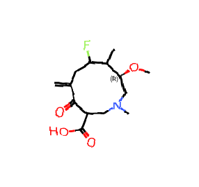 C=C1CC(F)C(C)[C@@H](OC)CN(C)CC(C(=O)O)C1=O